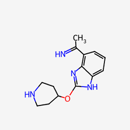 CC(=N)c1cccc2[nH]c(OC3CCNCC3)nc12